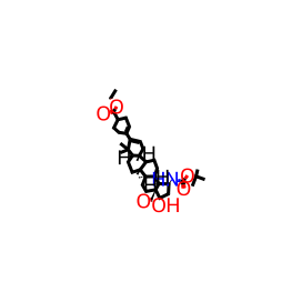 CCOC(=O)C1CC=C(C2=CC[C@]3(C)[C@H]4CC[C@@H]5[C@H]6[C@H](NC(=O)OC(C)(C)C)CC[C@]6(C(=O)O)CC[C@@]5(C)[C@]4(C)CC[C@H]3C2(C)C)CC1